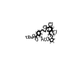 CC(=O)O[C@@H]1CCC[C@H]1N(C)Cc1c(Cl)cc(Cl)c(=O)n1CCc1ccc(C(=O)OC(C)(C)C)cc1